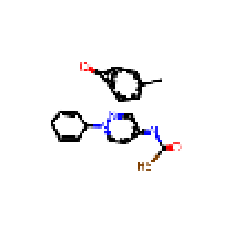 Cc1ccc2c(=O)c2c1.O=C(S)N=c1ccn(C2C=CCC=C2)nc1